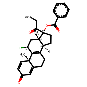 CC(=O)OCC(=O)[C@@]1(OC(=O)c2ccccc2)CC[C@H]2C3=C([C@@H](F)C[C@@]21C)[C@@]1(C)C=CC(=O)C=C1CC3